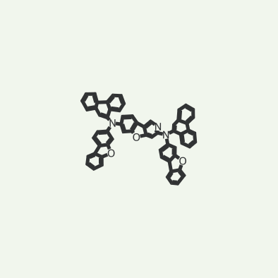 c1ccc2c(c1)cc(N(c1ccc3c(c1)oc1ccccc13)c1ccc3c(c1)oc1cc(N(c4ccc5c(c4)oc4ccccc45)c4cc5ccccc5c5ccccc45)ncc13)c1ccccc12